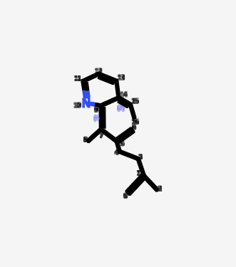 C=C(C)CCC(=C)/C(C)=c1/nccc/c1=C/C